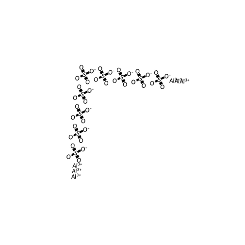 O=S(=O)([O-])[O-].O=S(=O)([O-])[O-].O=S(=O)([O-])[O-].O=S(=O)([O-])[O-].O=S(=O)([O-])[O-].O=S(=O)([O-])[O-].O=S(=O)([O-])[O-].O=S(=O)([O-])[O-].O=S(=O)([O-])[O-].[Al+3].[Al+3].[Al+3].[Al+3].[Al+3].[Al+3]